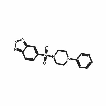 O=S(=O)(c1ccc2nsnc2c1)N1CCN(c2ccccc2)CC1